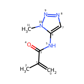 C=C(C)C(=O)Nc1cnnn1C